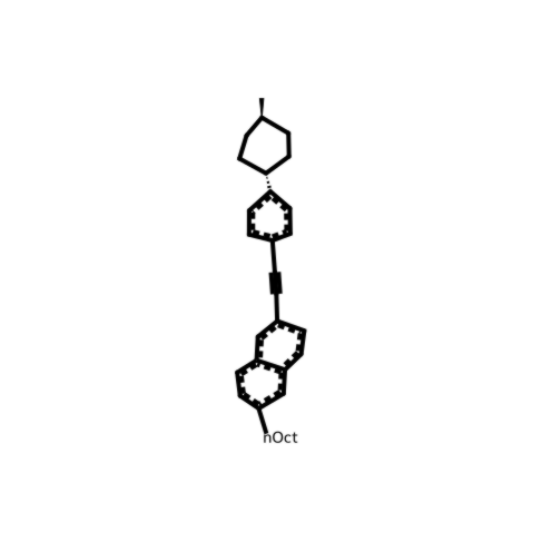 CCCCCCCCc1ccc2cc(C#Cc3ccc([C@H]4CC[C@H](C)CC4)cc3)ccc2c1